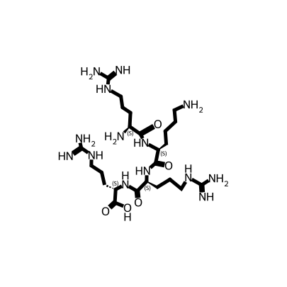 N=C(N)NCCC[C@H](NC(=O)[C@H](CCCNC(=N)N)NC(=O)[C@H](CCCCN)NC(=O)[C@@H](N)CCCNC(=N)N)C(=O)O